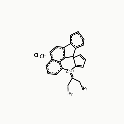 CC(C)C[C](CC(C)C)=[Zr+2]([C]1=CC=CC1)[c]1cccc2ccc3c(c12)Cc1ccccc1-3.[Cl-].[Cl-]